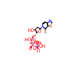 O=P(O)(O)OP(=O)(O)OP(=O)(O)OC[C@H]1O[C@@H](n2ccc3ncsc3c2=S)CC1O